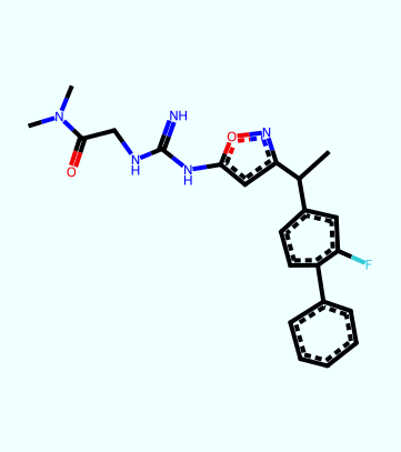 CC(c1ccc(-c2ccccc2)c(F)c1)c1cc(NC(=N)NCC(=O)N(C)C)on1